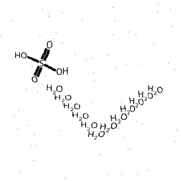 O.O.O.O.O.O.O.O.O.O.O.O.O=S(=O)(O)O